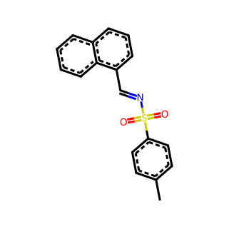 Cc1ccc(S(=O)(=O)/N=C/c2cccc3ccccc23)cc1